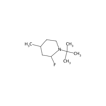 CC1CCN(C(C)(C)C)C(F)C1